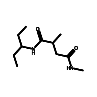 CCC(CC)NC(=O)C(C)CC(=O)NC